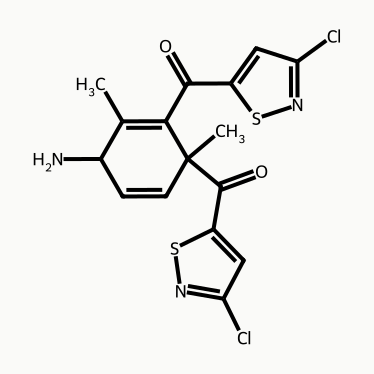 CC1=C(C(=O)c2cc(Cl)ns2)C(C)(C(=O)c2cc(Cl)ns2)C=CC1N